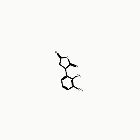 Cc1cccc(C2CC(=O)OC2=O)c1C